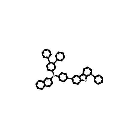 c1ccc(-c2ccc(N(c3ccc(-c4ccc5oc6c(-c7ccccc7)cccc6c5c4)cc3)c3ccc4ccccc4c3)cc2-c2ccccc2)cc1